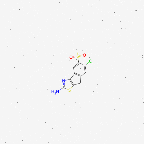 CS(=O)(=O)c1cc2c(cc1Cl)Cc1sc(N)nc1-2